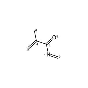 C=NC(=O)C(=C)C